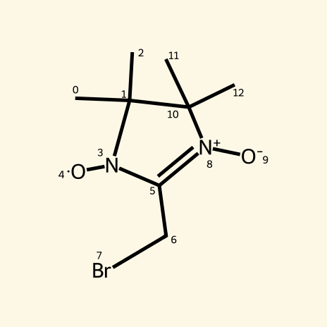 CC1(C)N([O])C(CBr)=[N+]([O-])C1(C)C